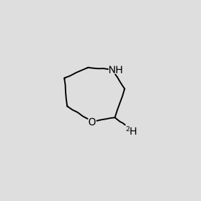 [2H]C1CNCCCO1